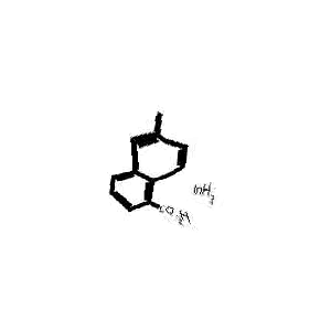 Cc1ccc2c(C(=O)O)cccc2c1.[InH3]